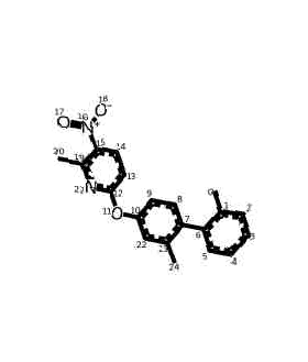 Cc1ccccc1-c1ccc(Oc2ccc([N+](=O)[O-])c(C)n2)cc1C